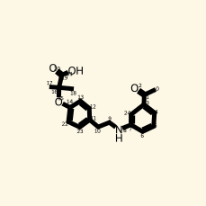 CC(=O)c1cccc(NCCc2ccc(OC(C)(C)C(=O)O)cc2)c1